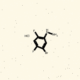 Cl.NNc1cc(Br)c(F)cc1F